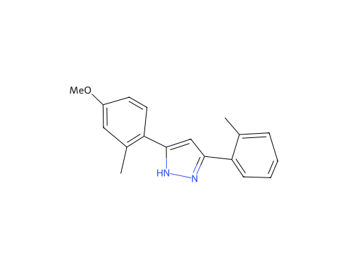 COc1ccc(-c2cc(-c3ccccc3C)n[nH]2)c(C)c1